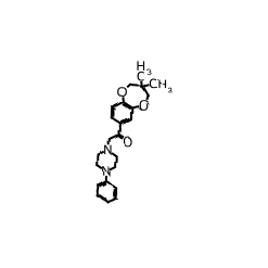 CC1(C)COc2ccc(C(=O)CN3CCN(c4ccccc4)CC3)cc2OC1